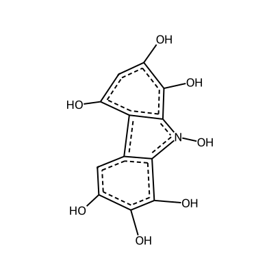 Oc1cc2c3c(O)cc(O)c(O)c3n(O)c2c(O)c1O